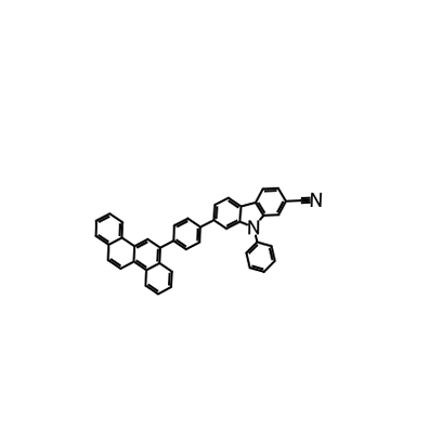 N#Cc1ccc2c3ccc(-c4ccc(-c5cc6c7ccccc7ccc6c6ccccc56)cc4)cc3n(-c3ccccc3)c2c1